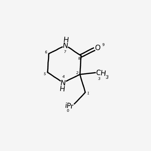 CC(C)CC1(C)NCCNC1=O